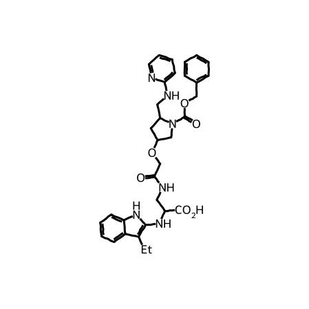 CCc1c(NC(CNC(=O)COC2CC(CNc3ccccn3)N(C(=O)OCc3ccccc3)C2)C(=O)O)[nH]c2ccccc12